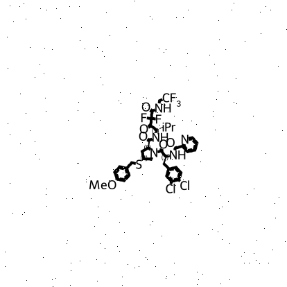 COc1ccc(CS[C@@H]2C[C@@H](C(=O)N[C@H](C(=O)C(F)(F)C(=O)NCC(F)(F)F)C(C)C)N(C(=O)[C@H](Cc3ccc(Cl)c(Cl)c3)NC(=O)c3ccccn3)C2)cc1